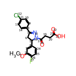 COc1cc(C2CC(c3ccc(Cl)cc3)=NN2C(=O)CCC(=O)O)ccc1F